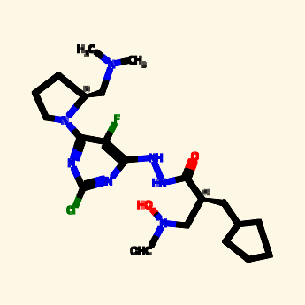 CN(C)C[C@@H]1CCCN1c1nc(Cl)nc(NNC(=O)[C@@H](CC2CCCC2)CN(O)C=O)c1F